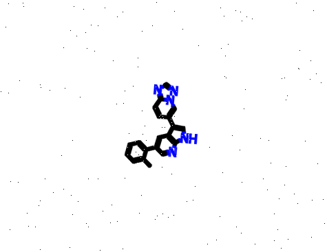 Cc1ccccc1-c1cnc2[nH]cc(-c3ccc4ncnn4c3)c2c1